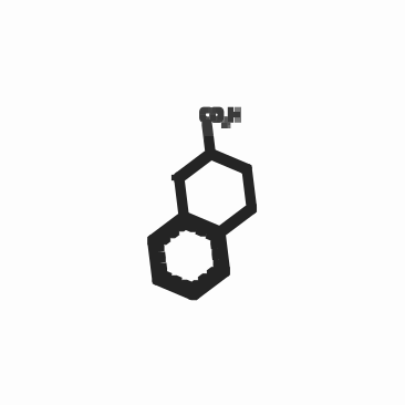 O=C(O)C1[CH]c2ccccc2CC1